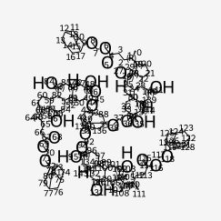 C[C@H](CCC(=O)OCOC1C2CC3CC(C2)CC1C3)[C@H]1CCC2C3C(C[C@H](O)[C@@]21C)[C@@]1(C)CC[C@@](O)(OCOC24CC5CC(OCO[C@]6(O)CC[C@]7(C)C8C[C@H](O)[C@@]9(C)C(CC[C@@H]9[C@H](C)CCC(=O)OCOC9C%10CC%11CC(C%10)CC9C%11)C8[C@H](O)C[C@@H]7C6)(C2)CC(OCO[C@]2(O)CC[C@]6(C)C7C[C@H](O)[C@@]8(C)C(CC[C@@H]8[C@H](C)CCC(=O)OCOC8C9CC%10CC(C9)CC8C%10)C7[C@H](O)C[C@@H]6C2)(C5)C4)C[C@H]1C[C@H]3O